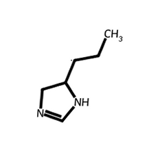 CC[CH]C1CN=CN1